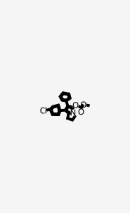 COC(=O)Oc1c(-c2ccccc2)c(-c2ccc(Cl)cc2)c2n1CCC2